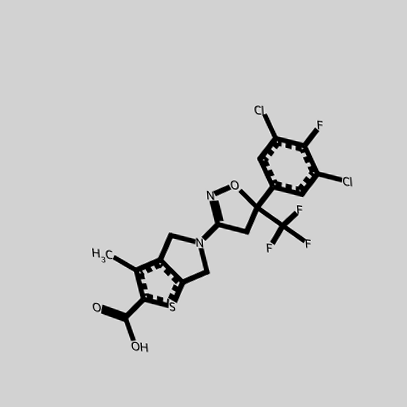 Cc1c(C(=O)O)sc2c1CN(C1=NOC(c3cc(Cl)c(F)c(Cl)c3)(C(F)(F)F)C1)C2